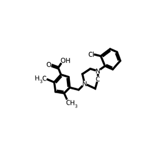 Cc1cc(C)c(C(=O)O)cc1CN1CCN(c2ccccc2Cl)CC1